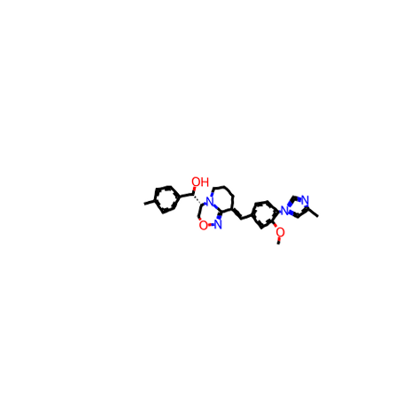 COc1cc(/C=C2\CCCN3C2=NOC[C@@H]3C(O)c2ccc(C)cc2)ccc1-n1cnc(C)c1